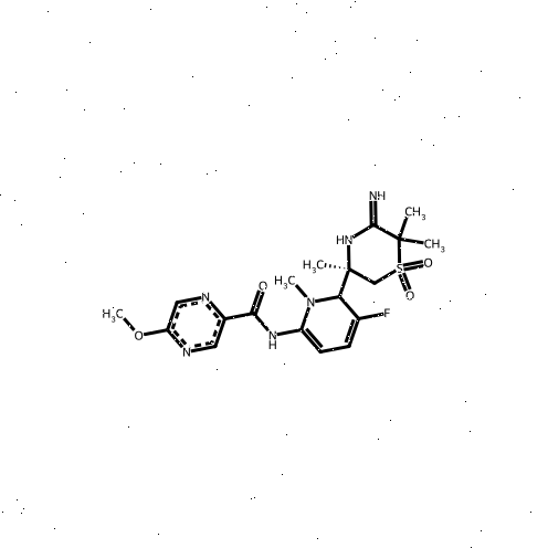 COc1cnc(C(=O)NC2=CC=C(F)C([C@]3(C)CS(=O)(=O)C(C)(C)C(=N)N3)N2C)cn1